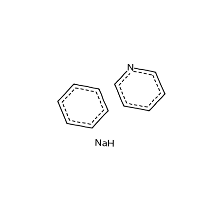 [NaH].c1ccccc1.c1ccncc1